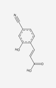 N#Cc1ccc(C=CC(=O)O)c(O)c1